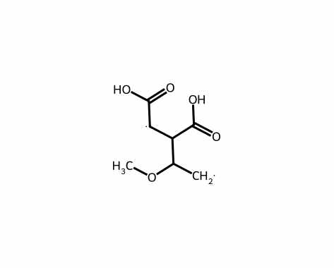 [CH2]C(OC)C([CH]C(=O)O)C(=O)O